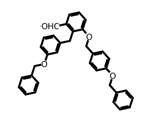 O=[C]c1cccc(OCc2ccc(OCc3ccccc3)cc2)c1Cc1cccc(OCc2ccccc2)c1